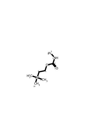 CC(C)NC(=O)OCC[N+](C)(C)C